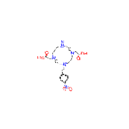 O=C(O)CN1CCCN(CCc2ccc([N+](=O)[O-])cc2)CCN(CC(=O)O)CCCNCC1